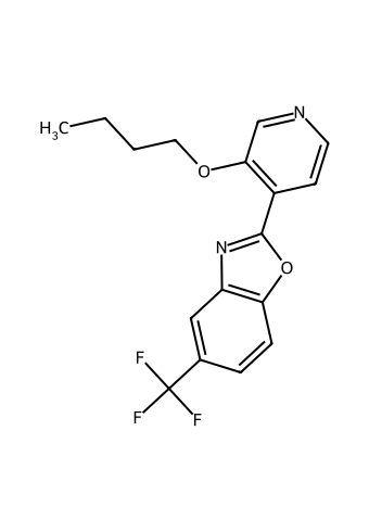 CCCCOc1cnccc1-c1nc2cc(C(F)(F)F)ccc2o1